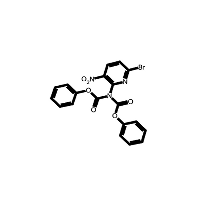 O=C(Oc1ccccc1)N(C(=O)Oc1ccccc1)c1nc(Br)ccc1[N+](=O)[O-]